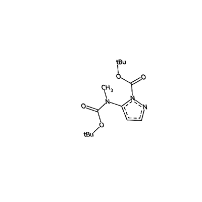 CN(C(=O)OC(C)(C)C)c1ccnn1C(=O)OC(C)(C)C